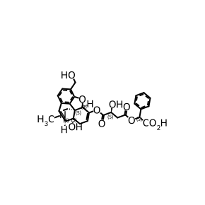 CN1CC[C@]23c4c5ccc(CO)c4O[C@H]2C(OC(=O)[C@@H](O)CC(=O)O[C@H](C(=O)O)c2ccccc2)=CC[C@@]3(O)[C@H]1C5